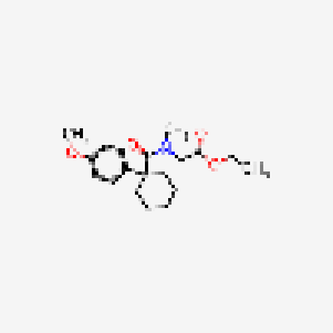 CCOC(=O)CN(C)C(=O)C1(c2ccc(OC)cc2)CCCCC1